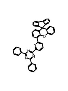 c1ccc(-c2nc(-c3ccccc3)nc(-c3cccc(-c4cccc5c4Oc4ccccc4C54c5ccccc5-c5ccccc54)n3)n2)cc1